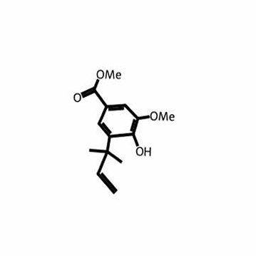 C=CC(C)(C)c1cc(C(=O)OC)cc(OC)c1O